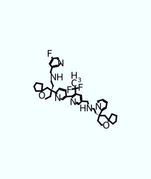 CC(F)(F)c1cc(CNCC[C@@]2(c3ccccn3)CCOC3(CCCC3)C2)cnc1-c1ccc([C@]2(CCNCc3cncc(F)c3)CCOC3(CCCC3)C2)nc1